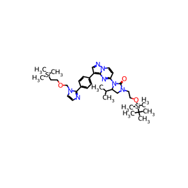 CC(C)C1CN(CCO[Si](C)(C)C(C)(C)C)C(=O)N1c1ccn2ncc(-c3ccc(-c4nccn4COCC[Si](C)(C)C)cc3)c2n1